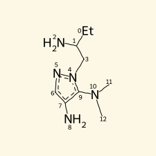 CCC(N)Cn1ncc(N)c1N(C)C